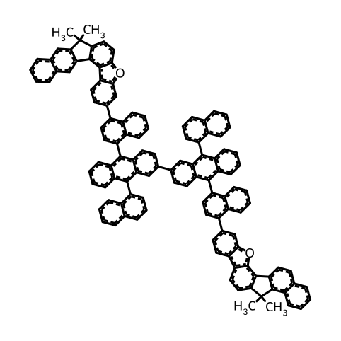 CC1(C)c2cc3ccccc3cc2-c2c1ccc1oc3cc(-c4ccc(-c5c6ccccc6c(-c6cccc7ccccc67)c6cc(-c7ccc8c(-c9ccc(-c%10ccc%11c(c%10)oc%10c%12c(ccc%10%11)C(C)(C)c%10c-%12ccc%11ccccc%10%11)c%10ccccc9%10)c9ccccc9c(-c9cccc%10ccccc9%10)c8c7)ccc56)c5ccccc45)ccc3c21